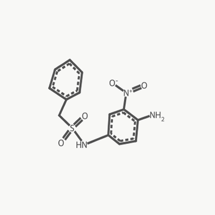 Nc1ccc(NS(=O)(=O)Cc2ccccc2)cc1[N+](=O)[O-]